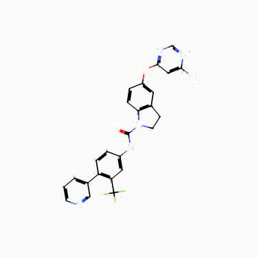 O=C(Nc1ccc(-c2cccnc2)c(C(F)(F)F)c1)N1CCc2cc(Oc3cc(Cl)ncn3)ccc21